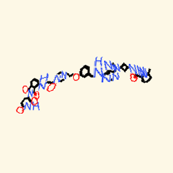 Cc1cccc(C(=O)NC2CC(n3cnc4c(NCc5cccc(OCCCN6CCN(C(=O)CNc7cccc8c7C(=O)N([C@H]7CCC(=O)NC7=O)C8=O)CC6)c5)ncnc43)C2)n1